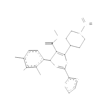 COC(=O)C1=C(C2CCN([SH](=O)=O)CC2)NC(c2nccs2)=NC1c1ccc(F)c(F)c1C